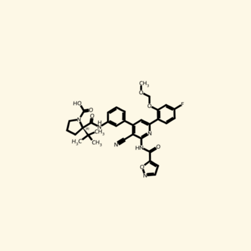 COCOc1cc(F)ccc1-c1cc(-c2cccc(NC(=O)[C@]3(C(C)(C)C)CCCN3C(=O)O)c2)c(C#N)c(NC(=O)c2ccno2)n1